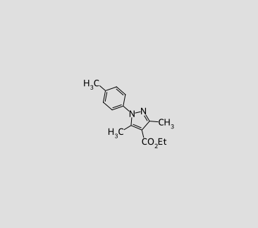 CCOC(=O)c1c(C)nn(-c2ccc(C)cc2)c1C